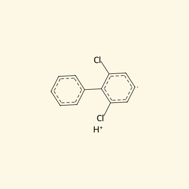 Clc1c[c]cc(Cl)c1-c1ccccc1.[H+]